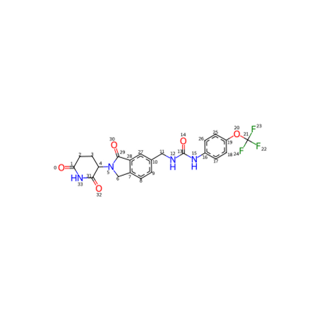 O=C1CCC(N2Cc3ccc(CNC(=O)Nc4ccc(OC(F)(F)F)cc4)cc3C2=O)C(=O)N1